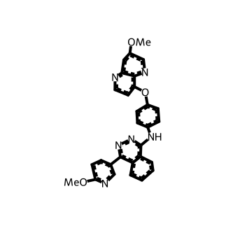 COc1cnc2c(Oc3ccc(Nc4nnc(-c5ccc(OC)nc5)c5ccccc45)cc3)ccnc2c1